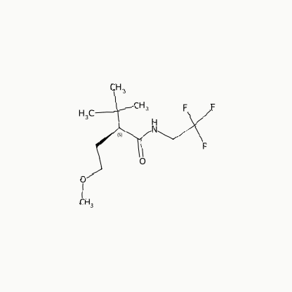 COCC[C@H](C(=O)NCC(F)(F)F)C(C)(C)C